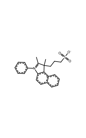 CC1=[N+](c2ccccc2)c2ccc3ccccc3c2C1(C)CCCS(=O)(=O)[O-]